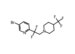 FC(F)(CN1CCC(C(F)(F)F)CC1)c1ccc(Br)cn1